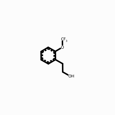 OCCc1ccccc1OC(F)(F)F